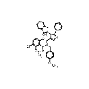 COc1ccc(CN(Cc2cnc(-c3ccccc3)n2C2Cc3ccccc3C2)C(=O)c2c(OC)ccc(Cl)c2OC)cc1